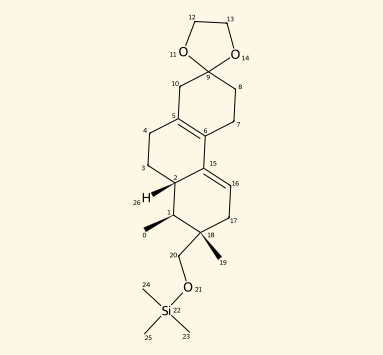 C[C@H]1[C@@H]2CCC3=C(CCC4(C3)OCCO4)C2=CC[C@]1(C)CO[Si](C)(C)C